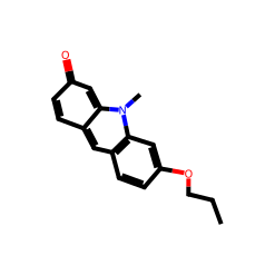 CCCOc1ccc2cc3ccc(=O)cc-3n(C)c2c1